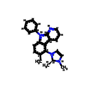 Cc1ccc2c(c1N1C=CN(C)[C@@H]1C)c1cccnc1n2-c1ccccc1